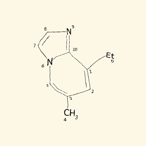 CCc1cc(C)cn2ccnc12